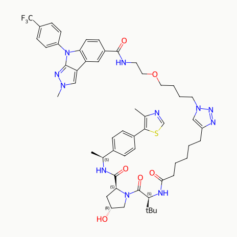 Cc1ncsc1-c1ccc([C@H](C)NC(=O)[C@@H]2C[C@@H](O)CN2C(=O)[C@@H](NC(=O)CCCCCc2cn(CCCCOCCNC(=O)c3ccc4c(c3)c3cn(C)nc3n4-c3ccc(C(F)(F)F)cc3)nn2)C(C)(C)C)cc1